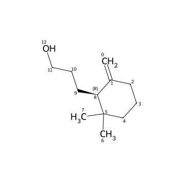 C=C1CCCC(C)(C)[C@H]1CCCO